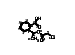 CC(OC(=O)CCl)c1ccccc1C(=O)O